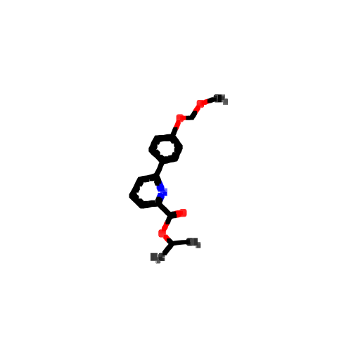 COCOc1ccc(-c2cccc(C(=O)OC(C)C)n2)cc1